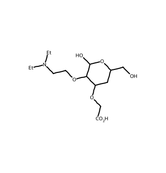 CCN(CC)CCOC1C(O)OC(CO)CC1OCC(=O)O